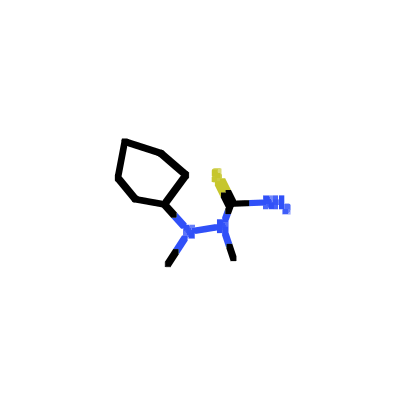 CN(C(N)=S)N(C)C1CCCCC1